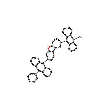 O=Nc1c2ccccc2c(-c2ccc3oc4cc(-c5c6ccccc6c(-c6ccccc6)c6ccccc56)ccc4c3c2)c2ccccc12